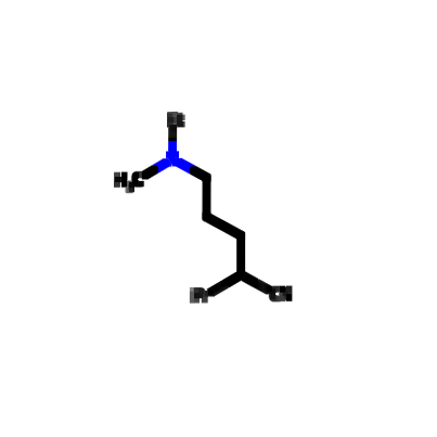 CCN(C)CCCC(C#N)C(C)C